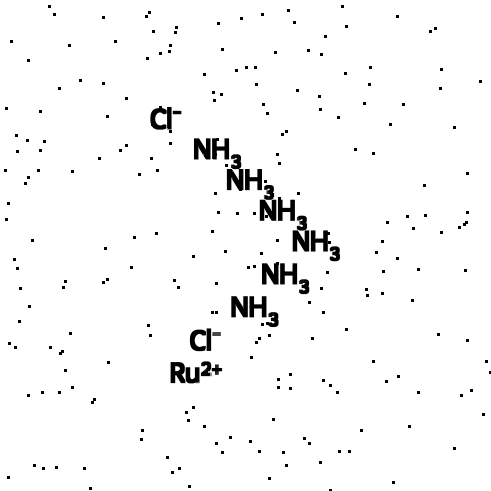 N.N.N.N.N.N.[Cl-].[Cl-].[Ru+2]